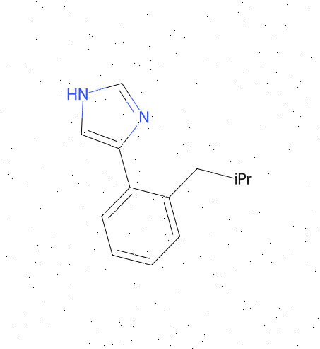 CC(C)Cc1ccccc1-c1c[nH]cn1